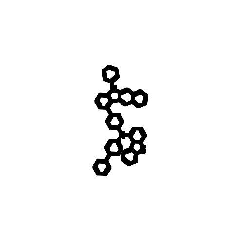 C1=CC2Sc3ccccc3C2C(N(c2ccc(-c3ccccc3)cc2)c2ccc(-c3cccc4c3c3cc5ccccc5cc3n4-c3ccccc3)cc2)=C1